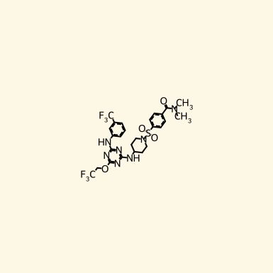 CN(C)C(=O)c1ccc(S(=O)(=O)N2CCC(Nc3nc(Nc4cccc(C(F)(F)F)c4)nc(OCC(F)(F)F)n3)CC2)cc1